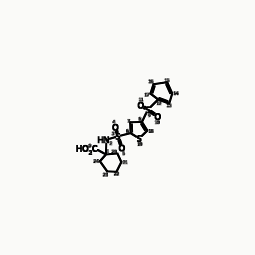 O=C(O)C1(NS(=O)(=O)c2cc(S(=O)(=O)c3ccccc3)cs2)CCCCC1